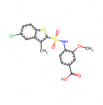 COc1cc(C(=O)O)ccc1NS(=O)(=O)c1sc2ccc(Cl)cc2c1C